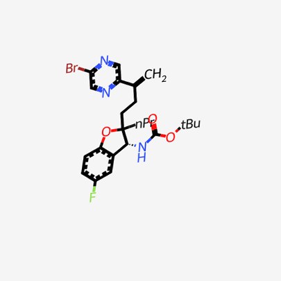 C=C(CCC1(CCC)Oc2ccc(F)cc2[C@H]1NC(=O)OC(C)(C)C)c1cnc(Br)cn1